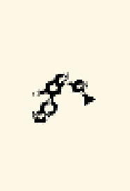 Clc1cc2cnn(-c3cnn(C4CC4)c3)c2cc1N1CCn2ccnc2C1